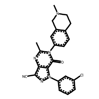 Cc1nc2c(C#N)nn(-c3cccc(Cl)c3)c2c(=O)n1-c1ccc2c(c1)CN(C)CC2